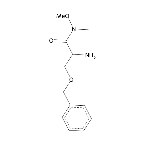 CON(C)C(=O)C(N)COCc1ccccc1